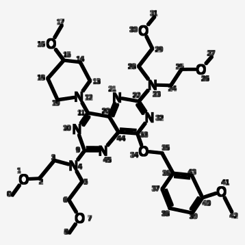 COCCN(CCOC)c1nc(N2CCC(OC)CC2)c2nc(N(CCOC)CCOC)nc(OCc3cccc(OC)c3)c2n1